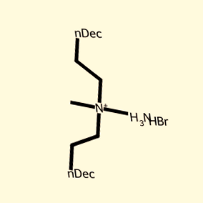 Br.CCCCCCCCCCCC[N+](C)(C)CCCCCCCCCCCC.N